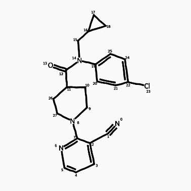 N#Cc1cccnc1N1CCC(C(=O)N(CC2CC2)c2ccc(Cl)cc2)CC1